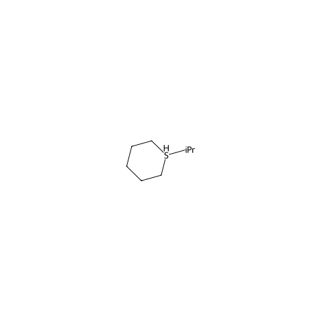 CC(C)[SH]1CCCCC1